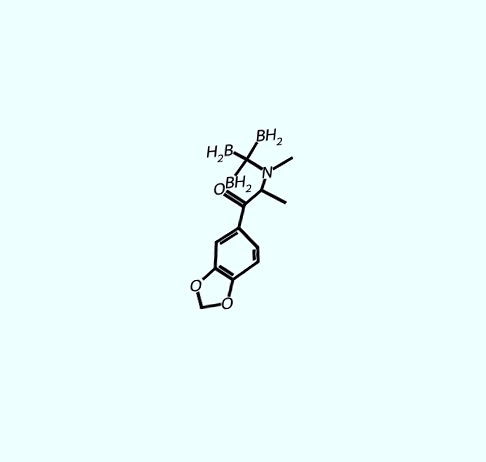 BC(B)(B)N(C)C(C)C(=O)c1ccc2c(c1)OCO2